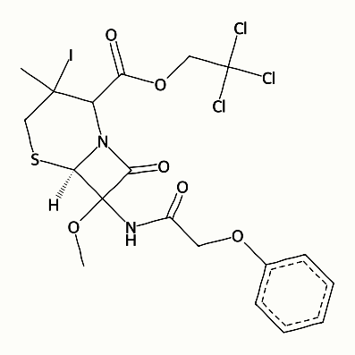 COC1(NC(=O)COc2ccccc2)C(=O)N2C(C(=O)OCC(Cl)(Cl)Cl)C(C)(I)CS[C@@H]21